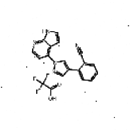 N#Cc1ccccc1-c1cnn(-c2ccnc3[nH]ccc23)c1.O=C(O)C(F)(F)F